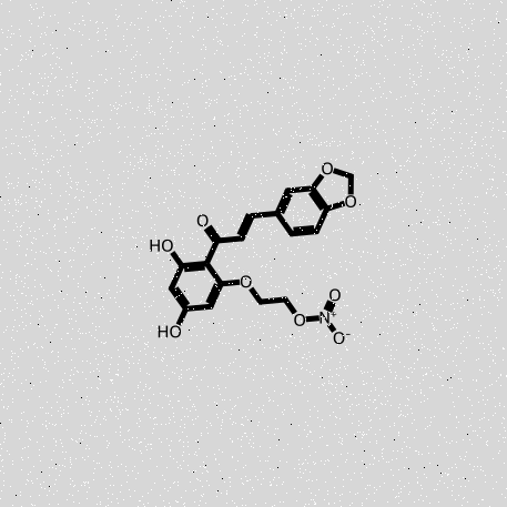 O=C(/C=C/c1ccc2c(c1)OCO2)c1c(O)cc(O)cc1OCCO[N+](=O)[O-]